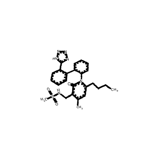 CCCCc1cc(C)c(CNS(C)(=O)=O)c(=O)n1-c1ccccc1-c1ccccc1-c1nnn[nH]1